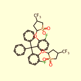 O=S1(=O)CC(C(F)(F)F)CC1Oc1c(F)cccc1C(c1ccccc1)(c1ccccc1)c1cccc(F)c1OC1CC(C(F)(F)F)CS1(=O)=O